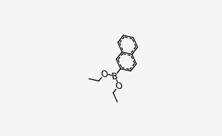 CCOB(OCC)c1ccc2ccccc2c1